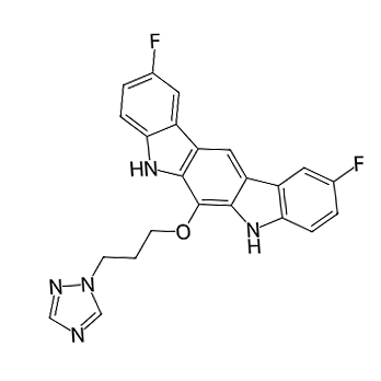 Fc1ccc2[nH]c3c(OCCCn4cncn4)c4[nH]c5ccc(F)cc5c4cc3c2c1